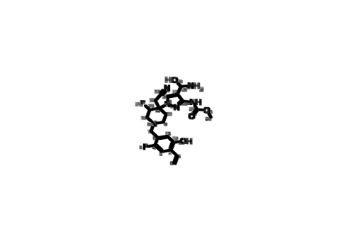 C=Cc1cc(F)c(CN2CCC(CC#N)(n3cc(C(N)O)c(NC(=O)OC)n3)C(F)C2)cc1O